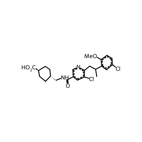 COc1ccc(Cl)cc1C(C)Cc1ncc(C(=O)NC[C@H]2CC[C@H](C(=O)O)CC2)cc1Cl